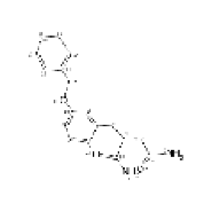 NC(=O)C[C@@H](Cc1cccc(OCc2ccccc2)c1)C(N)=O